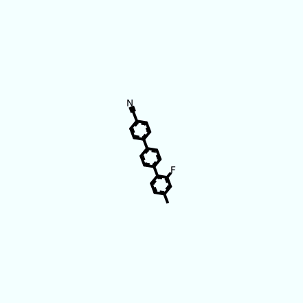 Cc1ccc(-c2ccc(-c3ccc(C#N)cc3)cc2)c(F)c1